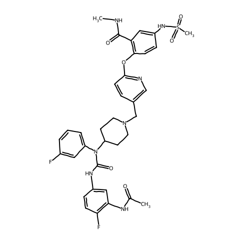 CNC(=O)c1cc(NS(C)(=O)=O)ccc1Oc1ccc(CN2CCC(N(C(=O)Nc3ccc(F)c(NC(C)=O)c3)c3cccc(F)c3)CC2)cn1